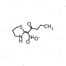 CCCC(=O)/C(=C1/NCCCS1)[N+](=O)[O-]